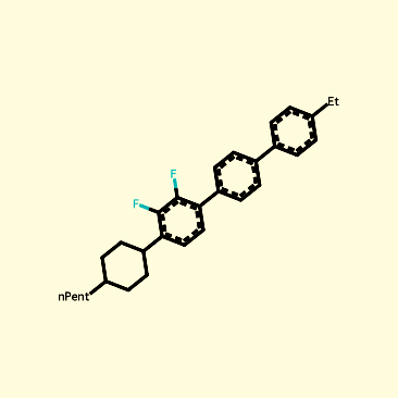 CCCCCC1CCC(c2ccc(-c3ccc(-c4ccc(CC)cc4)cc3)c(F)c2F)CC1